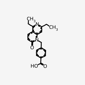 CCc1cc2c(ccc(=O)n2Cc2ccc(C(=O)O)cc2)c(CC)n1